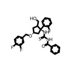 O=C(NC(=S)N[C@@]1(c2ccccc2F)C[C@H](OCc2ccc(F)c(F)c2)CC1CO)c1ccccc1